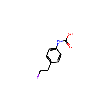 O=C(O)Nc1ccc(CCI)cc1